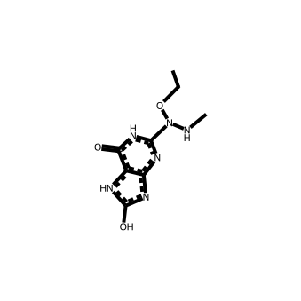 CCON(NC)c1nc2nc(O)[nH]c2c(=O)[nH]1